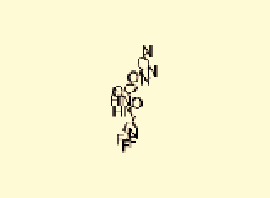 COc1cc(Oc2ncnc3cc(N(C)C)ccc23)ccc1NC(=O)NCc1ccc(C(F)(F)F)nc1